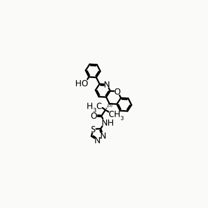 CC(C)(C(=O)Nc1nncs1)[C@H]1c2ccccc2Oc2nc(-c3ccccc3O)ccc21